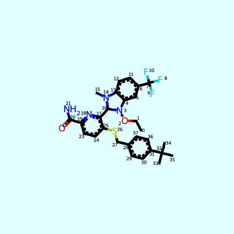 CCON1c2cc(C(F)(F)F)ccc2N(C)C1c1nc(C(N)=O)ccc1SCc1ccc(C(C)(C)C)cc1